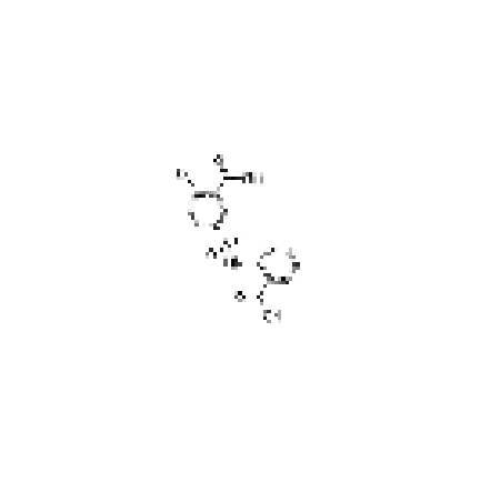 O=C(O)c1cc(S(=O)(=O)Nc2ccccc2C(=O)O)ccc1Br